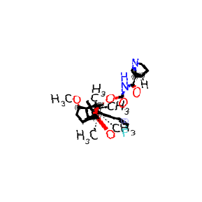 CO[C@@H]1CCC23CC[C@@H](C)[C@](C)(C12)[C@H](OC(=O)NC(=O)[C@H]1CN2CC[C@@H]1C2)C[C@@](C)(/C=C\F)C(=O)[C@@H]3C